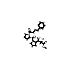 COC(=O)C(F)(F)C(O)C1CCCN1C(=O)[C@H]1CCCN1C(=O)CCCc1ccccc1